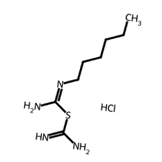 CCCCCCN=C(N)SC(=N)N.Cl